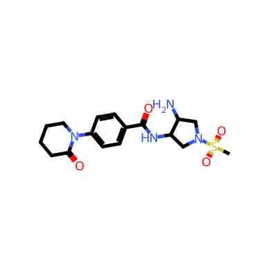 CS(=O)(=O)N1CC(N)C(NC(=O)c2ccc(N3CCCCC3=O)cc2)C1